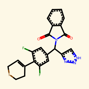 O=C1c2ccccc2C(=O)N1C(c1cc(F)c(C2=CCSCC2)c(F)c1)c1c[nH]nn1